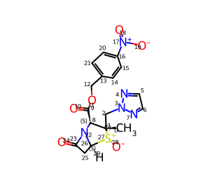 C[C@]1(Cn2nccn2)[C@H](C(=O)OCc2ccc([N+](=O)[O-])cc2)N2C(=O)C[C@@H]2[S+]1[O-]